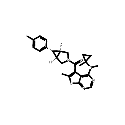 Cc1oc2ncnc(N(C)C3(C)CC3)c2c1C(=O)N1C[C@H]2[C@H](c3ccc(I)cc3)[C@@]2(C)C1